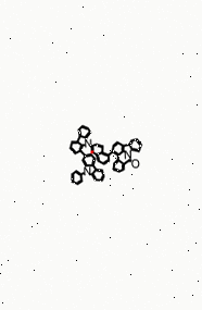 O=c1c2ccccc2c2c(-c3cccc4cc(-n5c6ccccc6c6cccc(-c7ccc8c9ccccc9n(-c9ccccc9)c8c7)c65)ccc34)ccc3c4ccccc4n1c32